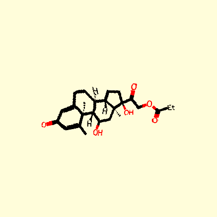 CCC(=O)OCC(=O)[C@@]1(O)CC[C@H]2[C@@H]3CCC4=CC(=O)C=C(C)[C@]4(C)[C@H]3C(O)C[C@@]21C